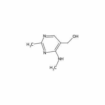 CNc1nc(C)ncc1CO